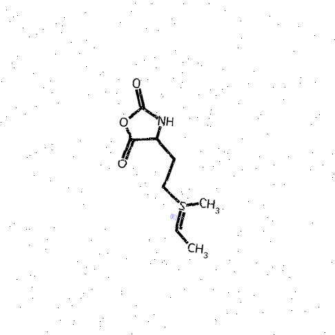 C/C=S(\C)CCC1NC(=O)OC1=O